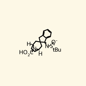 CC(C)(C)[S@@+]([O-])/N=C1\c2ccccc2CC12C[C@H]1CC[C@H](C2)N1C(=O)O